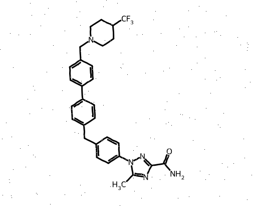 Cc1nc(C(N)=O)nn1-c1ccc(Cc2ccc(-c3ccc(CN4CCC(C(F)(F)F)CC4)cc3)cc2)cc1